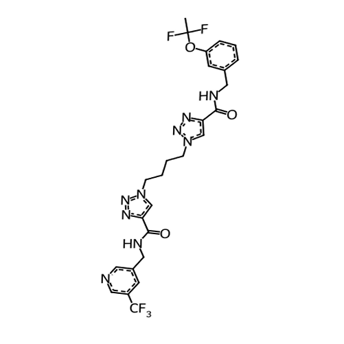 CC(F)(F)Oc1cccc(CNC(=O)c2cn(CCCCn3cc(C(=O)NCc4cncc(C(F)(F)F)c4)nn3)nn2)c1